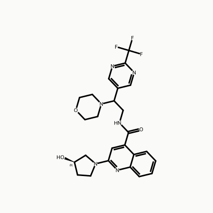 O=C(NCC(c1cnc(C(F)(F)F)nc1)N1CCOCC1)c1cc(N2CC[C@@H](O)C2)nc2ccccc12